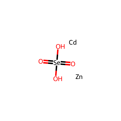 O=[Se](=O)(O)O.[Cd].[Zn]